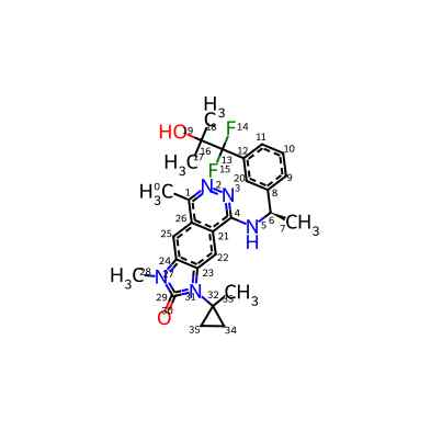 Cc1nnc(N[C@H](C)c2cccc(C(F)(F)C(C)(C)O)c2)c2cc3c(cc12)n(C)c(=O)n3C1(C)CC1